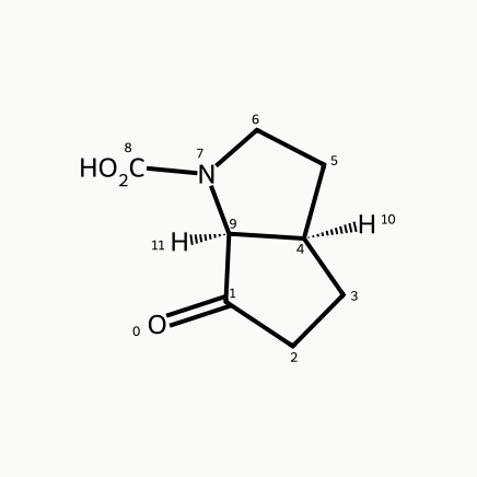 O=C1CC[C@@H]2CCN(C(=O)O)[C@H]12